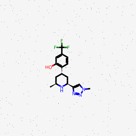 C[C@H]1C[C@H](c2ccc(C(F)(F)F)cc2O)C[C@@H](c2cn(C)nn2)N1